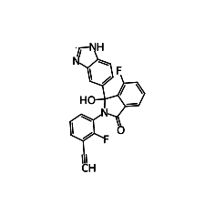 C#Cc1cccc(N2C(=O)c3cccc(F)c3C2(O)c2ccc3[nH][c]nc3c2)c1F